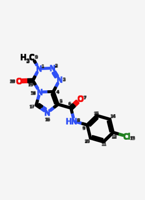 Cn1nnc2c(C(=O)Nc3ccc(Cl)cc3)ncn2c1=O